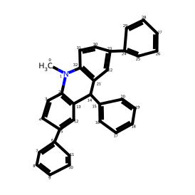 CN1c2ccc(-c3ccccc3)cc2C(c2ccccc2)c2cc(-c3ccccc3)ccc21